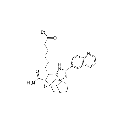 CCC(=O)CCCCC[C@H](c1ncc(-c2ccc3ncccc3c2)[nH]1)C1(C(N)=O)CC12CC1CCC(C2)N1